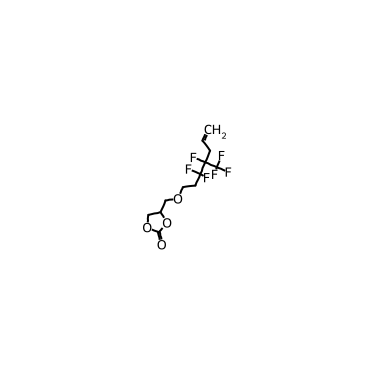 C=CCC(F)(C(F)(F)F)C(F)(F)CCOCC1COC(=O)O1